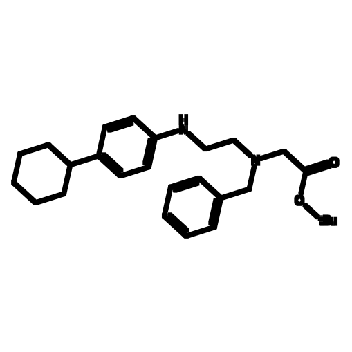 CC(C)(C)OC(=O)CN(CCNc1ccc(C2CCCCC2)cc1)Cc1ccccc1